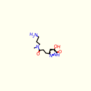 CN(CCCN)C(=O)CCc1cc(O)c(=O)[nH]n1